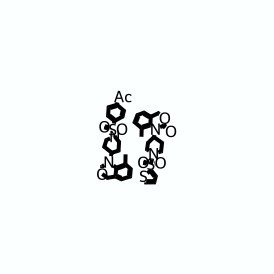 CC(=O)c1ccc(S(=O)(=O)N2CCC(N3COCc4cccc(C)c43)CC2)cc1.Cc1cccc2c1N(C1CCN(S(=O)(=O)c3cccs3)CC1)C(=O)OC2